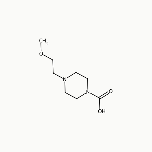 COCCN1CCN(C(=O)O)CC1